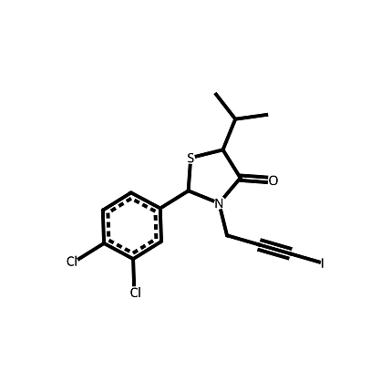 CC(C)C1SC(c2ccc(Cl)c(Cl)c2)N(CC#CI)C1=O